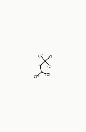 ClC(Cl)[CH]C(Cl)(Cl)Cl